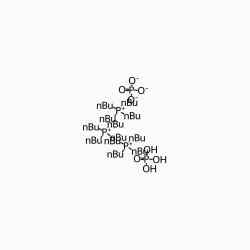 CCCC[P+](CCCC)(CCCC)CCCC.CCCC[P+](CCCC)(CCCC)CCCC.CCCC[P+](CCCC)(CCCC)CCCC.O=P(O)(O)O.O=P([O-])([O-])[O-]